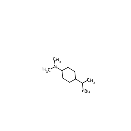 CCCCC(C)C1CCC(N(C)C)CC1